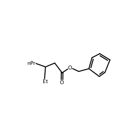 CCCC(CC)CC(=O)OCc1ccccc1